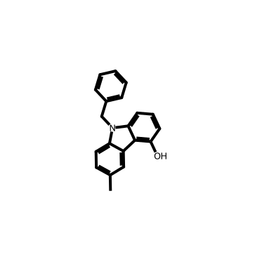 Cc1ccc2c(c1)c1c(O)cccc1n2Cc1ccccc1